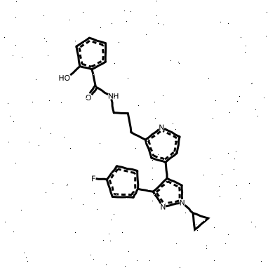 O=C(NCCCc1cc(-c2cn(C3CC3)nc2-c2ccc(F)cc2)ccn1)c1ccccc1O